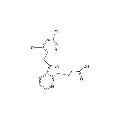 O=C(O)C=Cc1nn(Cc2ccc(Cl)cc2Cl)c2cccnc12